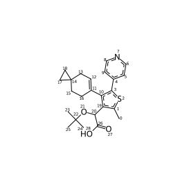 Cc1sc(-c2ccncc2)c(C2=CCC3(CC2)CC3)c1C(OC(C)(C)C)C(=O)O